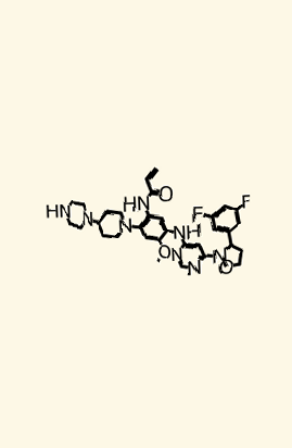 C=CC(=O)Nc1cc(Nc2cc(N3OCCC3c3cc(F)cc(F)c3)ncn2)c(OC)cc1N1CCC(N2CCNCC2)CC1